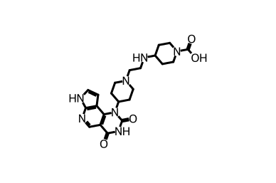 O=C(O)N1CCC(NCCN2CCC(n3c(=O)[nH]c(=O)c4cnc5[nH]ccc5c43)CC2)CC1